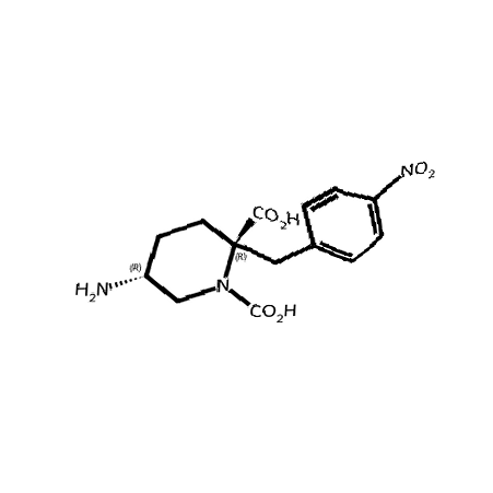 N[C@@H]1CC[C@@](Cc2ccc([N+](=O)[O-])cc2)(C(=O)O)N(C(=O)O)C1